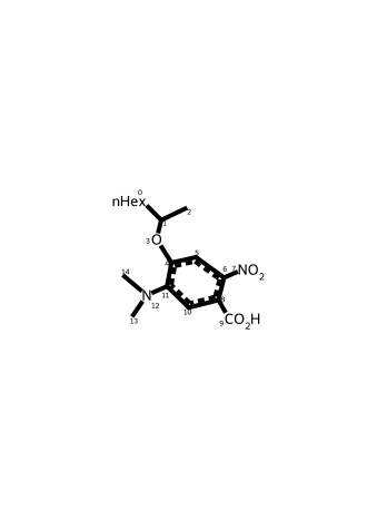 CCCCCCC(C)Oc1cc([N+](=O)[O-])c(C(=O)O)cc1N(C)C